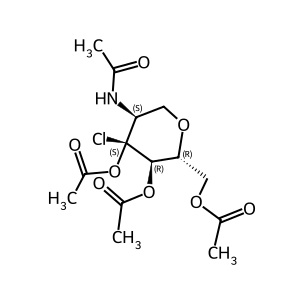 CC(=O)N[C@H]1CO[C@H](COC(C)=O)[C@@H](OC(C)=O)[C@]1(Cl)OC(C)=O